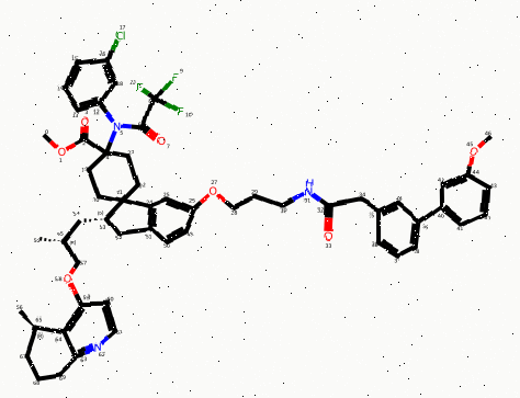 COC(=O)C1(N(C(=O)C(F)(F)F)c2cccc(Cl)c2)CCC2(CC1)c1cc(OCCCNC(=O)Cc3cccc(-c4cccc(OC)c4)c3)ccc1C[C@@H]2C[C@@H](C)COc1ccnc2c1[C@H](C)CCC2